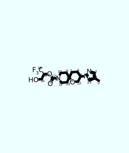 Cc1cnn(C2CCC3(CCN(C(=O)O[C@H](CO)C(F)(F)F)CC3)OC2)c1